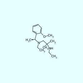 CCNC(C)(C)CN(CC)[C@@H](C)c1ccccc1OC